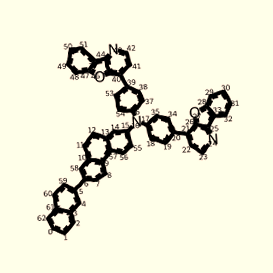 c1ccc2cc(-c3ccc4c(ccc5cc(N(c6ccc(-c7ccnc8c7oc7ccccc78)cc6)c6ccc(-c7ccnc8c7oc7ccccc78)cc6)ccc54)c3)ccc2c1